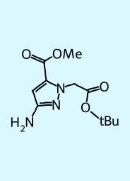 COC(=O)c1cc(N)nn1CC(=O)OC(C)(C)C